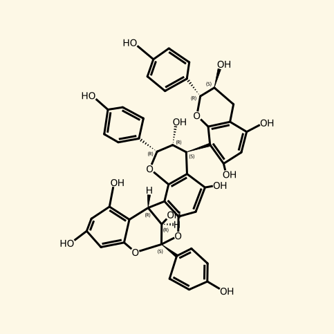 Oc1ccc([C@H]2Oc3c(c(O)cc4c3[C@H]3c5c(O)cc(O)cc5O[C@@](c5ccc(O)cc5)(O4)[C@@H]3O)[C@H](c3c(O)cc(O)c4c3O[C@H](c3ccc(O)cc3)[C@@H](O)C4)[C@H]2O)cc1